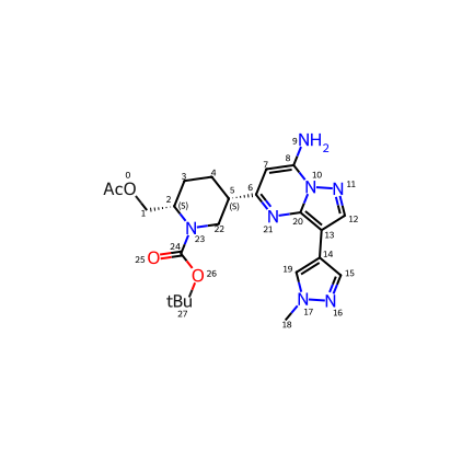 CC(=O)OC[C@@H]1CC[C@H](c2cc(N)n3ncc(-c4cnn(C)c4)c3n2)CN1C(=O)OC(C)(C)C